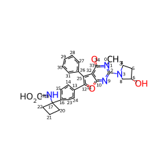 Cn1c(N2CCC(O)C2)nc2oc(-c3ccc(C4(NC(=O)O)CCC4)cc3)c(-c3ccccc3)c2c1=O